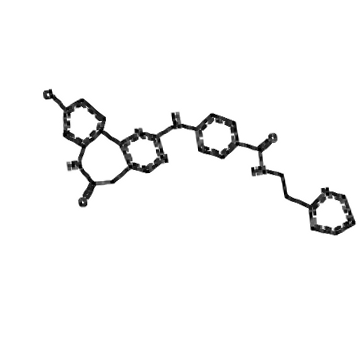 O=C1Cc2cnc(Nc3ccc(C(=O)NCCc4ccccn4)cc3)nc2-c2ccc(Cl)cc2N1